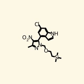 Cc1nn(COCC[Si](C)(C)C)c(-c2cc(Cl)cc3[nH]ccc23)c1[N+](=O)[O-]